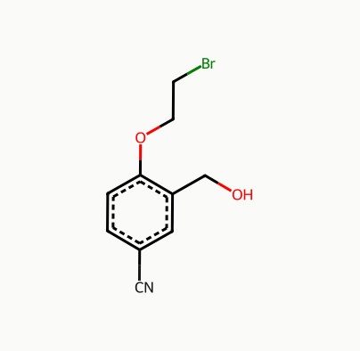 N#Cc1ccc(OCCBr)c(CO)c1